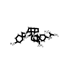 CCC1CCCN(C23CCC2C2CC(N4CC5(CCC(C)CC5)C4)C23C(C)N2CCC3(CCC(NC(C)C)CC3)C2)C1